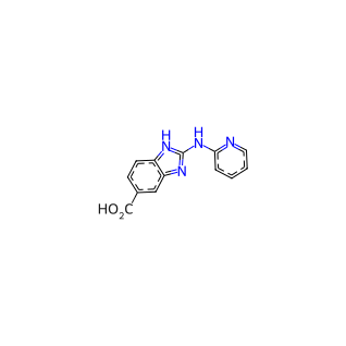 O=C(O)c1ccc2[nH]c(Nc3ccccn3)nc2c1